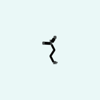 C[C](C)CC[SH](=O)=O